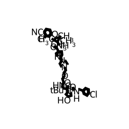 CC(C)(C)C(NC(=O)COCCN1CCN(c2ccc(C(=O)NC3C(C)(C)C(Oc4ccc(C#N)c(Cl)c4)C3(C)C)cn2)CC1)C(=O)N1C[C@H](O)C[C@H]1C(=O)NCc1ccc(Cl)cc1